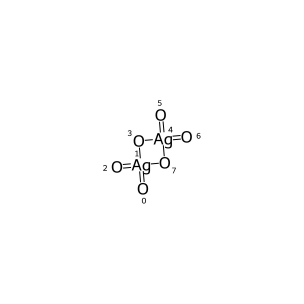 [O]=[Ag]1(=[O])[O][Ag](=[O])(=[O])[O]1